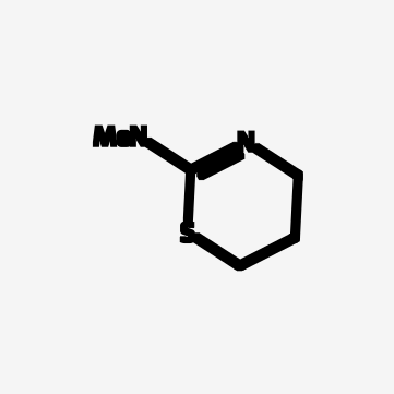 CNC1=NCCCS1